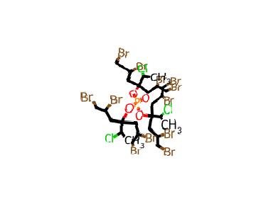 CC(Cl)C(CC(Br)CBr)(CC(Br)CBr)OP(=O)(OC(CC(Br)CBr)(CC(Br)CBr)C(C)Cl)OC(CC(Br)CBr)(CC(Br)CBr)C(C)Cl